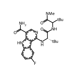 CNC(=O)C(NC(=O)[C@@H](Nc1ncc(C(N)=O)c2[nH]c3ccc(F)cc3c12)C(C)(C)C)C(C)(C)C